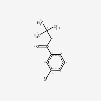 CC(C)(C)CC(=O)c1cccc(Cl)c1